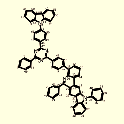 c1ccc(-c2nc(-c3ccc(-c4cccc5c4nc(-c4ccccc4)c4cc6c7ccccc7n(-c7ccccc7)c6cc45)cc3)nc(-c3ccc(-n4c5ccccc5c5ccccc54)cc3)n2)cc1